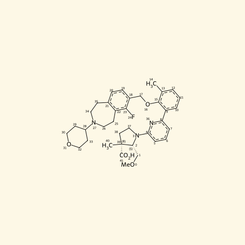 COC[C@H]1N(c2cccc(-c3cccc(C)c3OCc3ccc4c(c3F)CCN(C3CCOCC3)CC4)n2)CC[C@@]1(C)C(=O)O